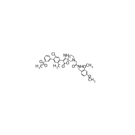 COc1ccc(CNC(=O)CN2CCCC3(C2)OC(=O)C(c2cc(Cl)c(-c4cccc(S(C)(=O)=O)c4)cc2C)=C3N)c(OC)c1